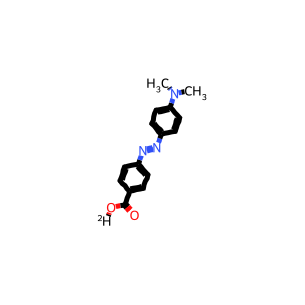 [2H]OC(=O)c1ccc(N=Nc2ccc(N(C)C)cc2)cc1